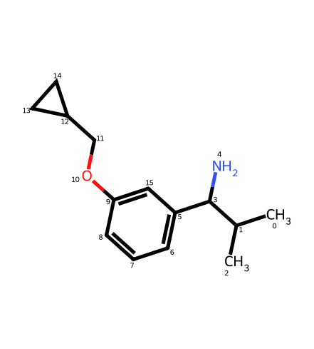 CC(C)C(N)c1cccc(OCC2CC2)c1